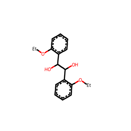 CCOc1ccccc1C(O)C(O)c1ccccc1OCC